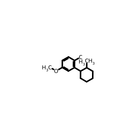 COc1ccc(C)c(C2CCCCC2C)c1